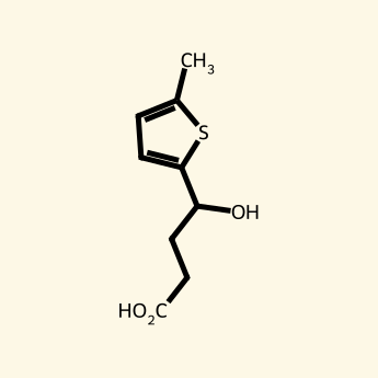 Cc1ccc(C(O)CCC(=O)O)s1